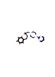 Cc1c(C)c2c(c(C)c1O)CCC(C)(CN1CCN(c3ncccn3)CC1)O2